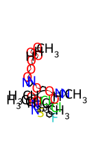 CO[C@@H]1CO[C@H]2[C@@H]1OC[C@H]2OCCOCCOc1nccc(COc2ccc3cc2C[C@H](C(=O)OC(C)(C)C)Oc2ncnc4sc(-c5ccc(F)cc5)c(c24)-c2c(C)c(Cl)c(c(Cl)c2C)O[C@H](CN2CCN(C)CC2)CO3)n1